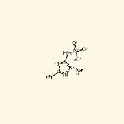 CCCc1nnc(NS(=O)(=O)[O-])s1.[Na+]